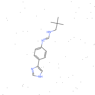 CC(C)(C)CN/C=N/c1ccc(-c2c[nH]cn2)cc1